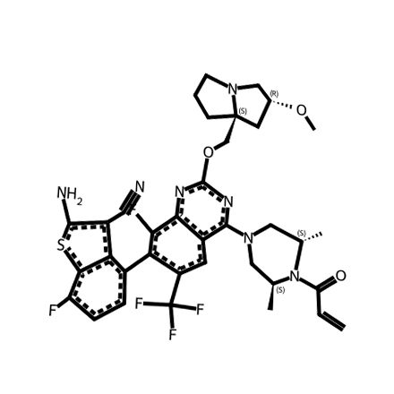 C=CC(=O)N1[C@@H](C)CN(c2nc(OC[C@@]34CCCN3C[C@H](OC)C4)nc3c(F)c(-c4ccc(F)c5sc(N)c(C#N)c45)c(C(F)(F)F)cc23)C[C@@H]1C